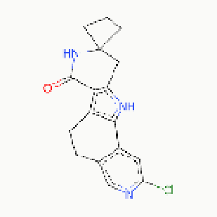 O=C1NC2(CCC2)Cc2[nH]c3c(c21)CCc1cnc(Cl)cc1-3